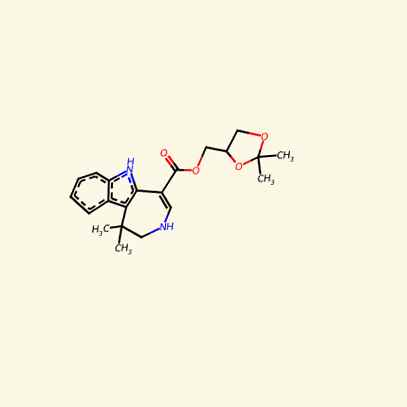 CC1(C)OCC(COC(=O)C2=CNCC(C)(C)c3c2[nH]c2ccccc32)O1